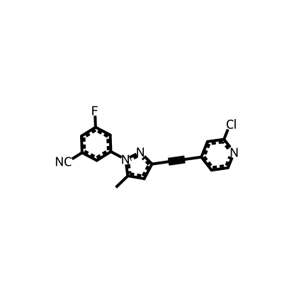 Cc1cc(C#Cc2ccnc(Cl)c2)nn1-c1cc(F)cc(C#N)c1